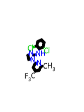 Cc1cc(C(F)(F)F)cc(-n2ccnc2Nc2c(Cl)cccc2Cl)n1